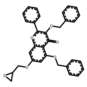 O=c1c(OCc2ccccc2)c(-c2ccccc2)oc2cc(OCC3CO3)cc(OCc3ccccc3)c12